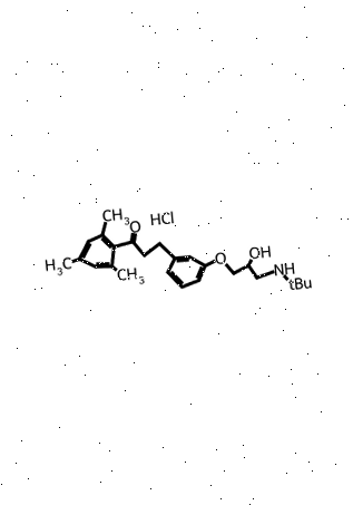 Cc1cc(C)c(C(=O)CCc2cccc(OCC(O)CNC(C)(C)C)c2)c(C)c1.Cl